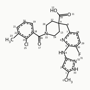 Cc1cc(Nc2nc(CC3(C(=O)O)CCN(C(=O)c4cccc(C)c4Cl)CC3)ccc2F)n[nH]1